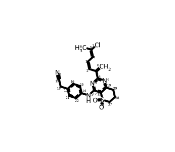 C=C(/C=C\C=C(/C)Cl)c1nc2c(c(Nc3ccc(CC#N)cc3)n1)S(=O)(=O)CCC2